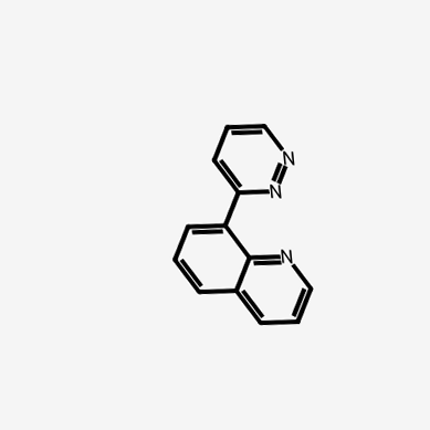 c1cnnc(-c2cccc3cccnc23)c1